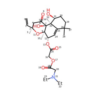 C=C[C@@]1(C)CC(=O)[C@@]2(O)[C@](C)(O1)[C@@H](OC(=O)COC(=O)CN(CC)CC)C=C1C(C)(C)CC[C@H](O)[C@@]12C